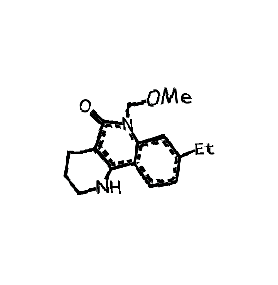 CCc1ccc2c3c(c(=O)n(COC)c2c1)CCCN3